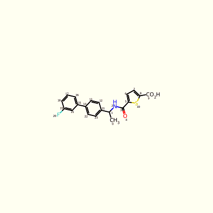 CC(NC(=O)c1ccc(C(=O)O)s1)c1ccc(-c2cccc(F)c2)cc1